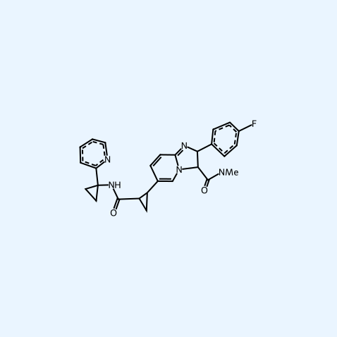 CNC(=O)C1C(c2ccc(F)cc2)N=C2C=CC(C3CC3C(=O)NC3(c4ccccn4)CC3)=CN21